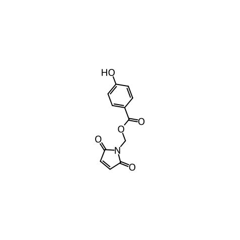 O=C(OCN1C(=O)C=CC1=O)c1ccc(O)cc1